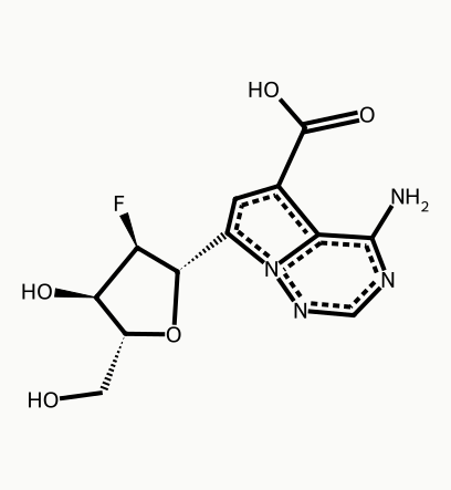 Nc1ncnn2c([C@@H]3O[C@H](CO)[C@@H](O)[C@H]3F)cc(C(=O)O)c12